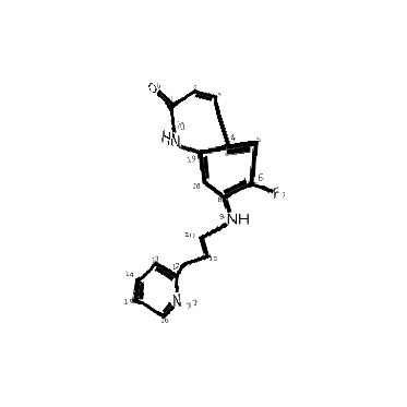 O=c1ccc2cc(F)c(NCCc3ccccn3)cc2[nH]1